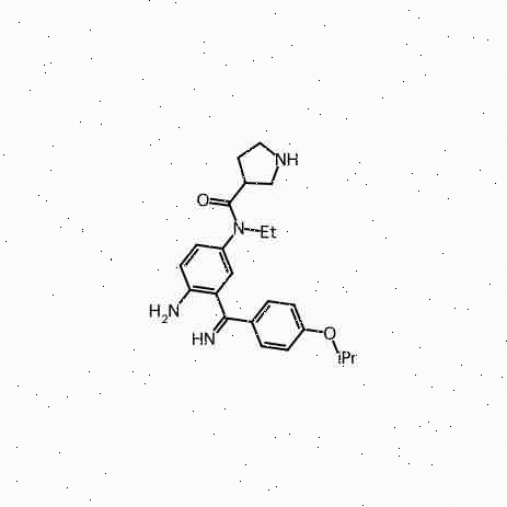 CCN(C(=O)C1CCNC1)c1ccc(N)c(C(=N)c2ccc(OC(C)C)cc2)c1